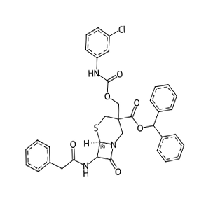 O=C(Cc1ccccc1)NC1C(=O)N2CC(COC(=O)Nc3cccc(Cl)c3)(C(=O)OC(c3ccccc3)c3ccccc3)CS[C@H]12